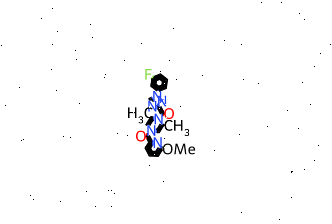 COc1cccc(C(=O)N2C[C@@H](C)N(C(=O)c3ncn(-c4cccc(F)c4)n3)[C@@H](C)C2)n1